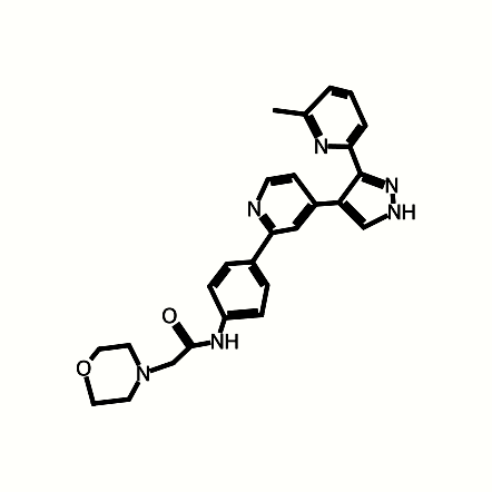 Cc1cccc(-c2n[nH]cc2-c2ccnc(-c3ccc(NC(=O)CN4CCOCC4)cc3)c2)n1